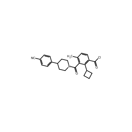 Cc1ccc(C(=O)Cl)c(C2CCC2)c1C(=O)N1CCC(c2ccc(C#N)cc2)CC1